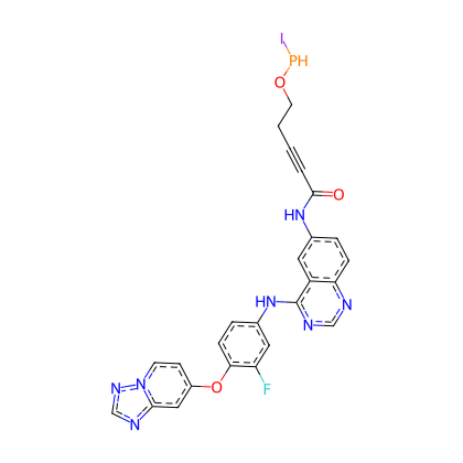 O=C(C#CCCOPI)Nc1ccc2ncnc(Nc3ccc(Oc4ccn5ncnc5c4)c(F)c3)c2c1